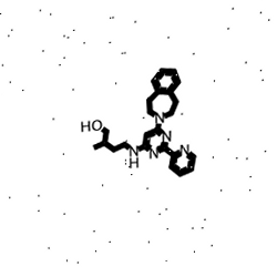 CC(CO)CCNc1cc(N2CCc3ccccc3CC2)nc(-c2ccccn2)n1